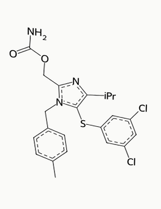 Cc1ccc(Cn2c(COC(N)=O)nc(C(C)C)c2Sc2cc(Cl)cc(Cl)c2)cc1